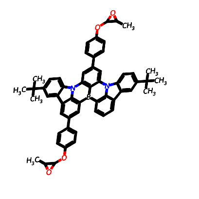 CC1OC1Oc1ccc(-c2cc3c4c(c2)-n2c5ccc(C(C)(C)C)cc5c5cc(-c6ccc(OC7OC7C)cc6)cc(c52)B4c2cccc4c5cc(C(C)(C)C)ccc5n-3c24)cc1